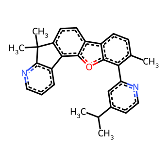 Cc1ccc2c(oc3c4c(ccc32)C(C)(C)c2ncccc2-4)c1-c1cc(C(C)C)ccn1